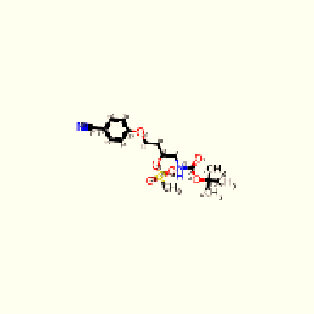 CC(C)(C)OC(=O)NCC(CCOc1ccc(C#N)cc1)OS(C)(=O)=O